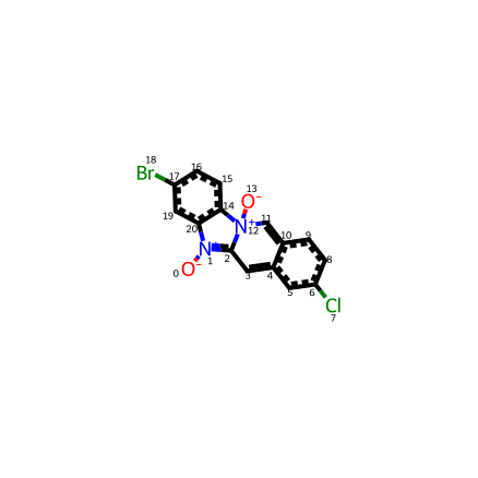 [O-][N+]1=C2C=c3cc(Cl)ccc3=C[N+]2([O-])c2ccc(Br)cc21